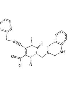 CC1C(=O)C(CN2CNc3ccccc3C2)C(=O)C(C(=O)Cl)=C1C#CCc1ccccc1